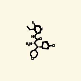 CCc1c(F)cncc1NC(=O)[C@@H](N)[C@@H](c1ccc(Cl)cc1)C1CCOCC1